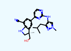 CC(C)Cc1nn(C)cc1Nc1nccc(-c2cc(C#N)c3c(c2)[C@@](C)(CO)CN3)n1